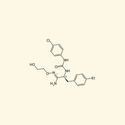 CCc1ccc(C[C@H](NC(=O)Nc2ccc(Cl)cc2)/C(N)=N/OCCO)cc1